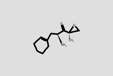 C[C@@]1(C(=O)[C@@H](N)CC2=CCCCC2)CO1